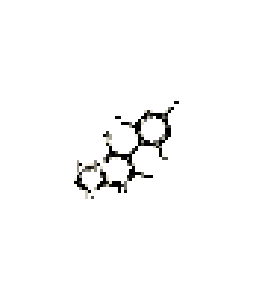 Cc1nc2ncnn2c(Br)c1-c1c(F)cc(F)cc1F